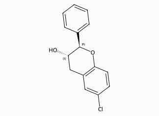 O[C@H]1Cc2cc(Cl)ccc2O[C@@H]1c1ccccc1